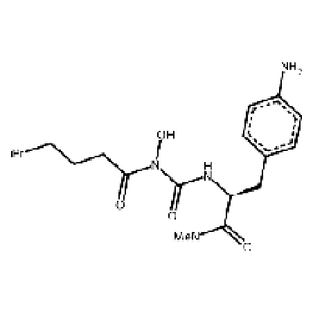 CNC(=O)[C@H](Cc1ccc(N)cc1)NC(=O)N(O)C(=O)CCCC(C)C